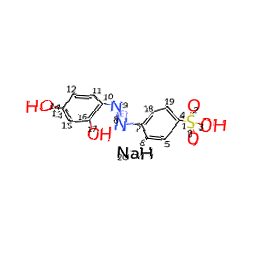 O=S(=O)(O)c1ccc(/N=N/c2ccc(O)cc2O)cc1.[NaH]